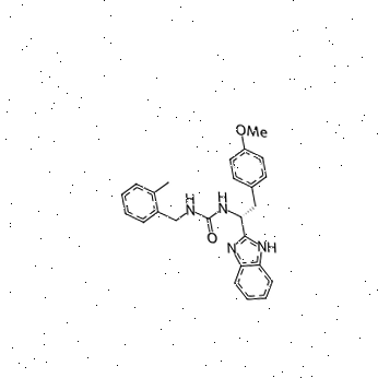 COc1ccc(C[C@@H](NC(=O)NCc2ccccc2C)c2nc3ccccc3[nH]2)cc1